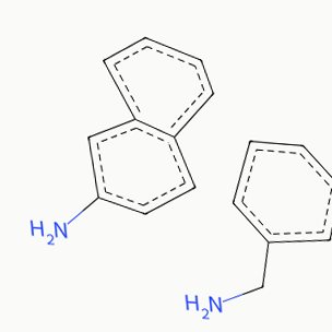 NCc1ccccc1.Nc1ccc2ccccc2c1